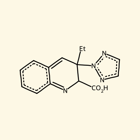 CCC1(n2nccn2)C=c2ccccc2=NC1C(=O)O